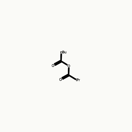 CCCCC(=O)OC(=O)C(C)C